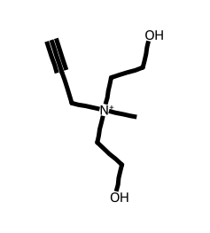 C#CC[N+](C)(CCO)CCO